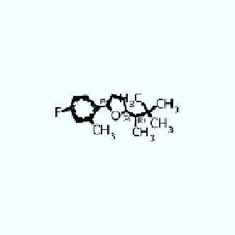 Cc1cc(F)ccc1[C@H]1CC[C@@H]([C@H](C)C(C)(C)C)O1